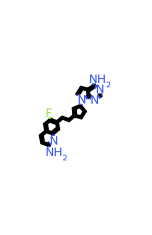 Nc1ccc2cc(F)c(CCC3=CC(n4ccc5c(N)ncnc54)CC3)cc2n1